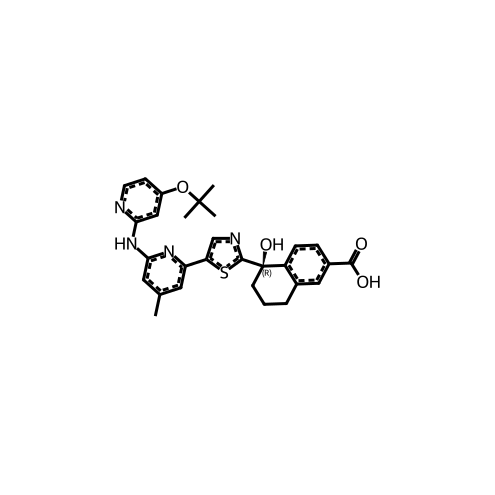 Cc1cc(Nc2cc(OC(C)(C)C)ccn2)nc(-c2cnc([C@@]3(O)CCCc4cc(C(=O)O)ccc43)s2)c1